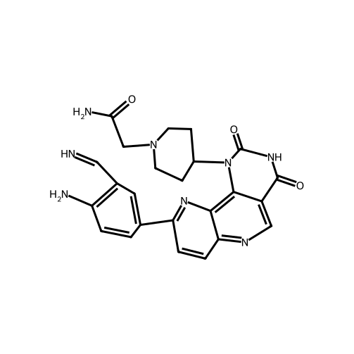 N=Cc1cc(-c2ccc3ncc4c(=O)[nH]c(=O)n(C5CCN(CC(N)=O)CC5)c4c3n2)ccc1N